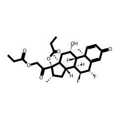 CCC(=O)OCC(=O)[C@]1(OC(=O)CC)[C@@H](C)C[C@H]2[C@@H]3[C@H](F)[C@@H](F)C4=CC(=O)C=C[C@]4(C)[C@@]3(F)[C@@H](O)C[C@@]21C